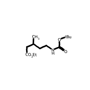 CCOC(=O)CC(C)CCNC(=O)OC(C)(C)C